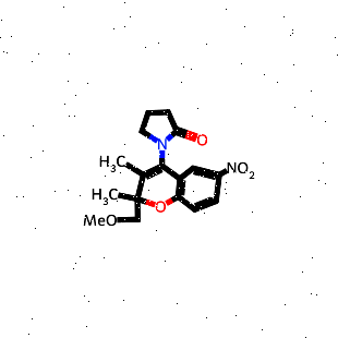 COCC1(C)Oc2ccc([N+](=O)[O-])cc2C(N2CCCC2=O)=C1C